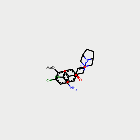 COc1cc(C(=O)/C=C/N2C3CCC2CN(Cc2ccc(F)cc2)C3)c(N)cc1Cl